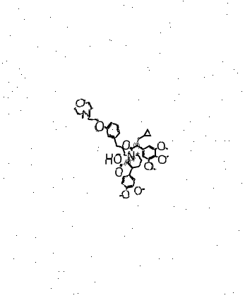 COc1ccc(C2CCC[N@@+](CCCc3cccc(OCCN4CCOCC4)c3)(C(=O)[C@@H](CC3CC3)c3cc(OC)c(OC)c(OC)c3)[C@H]2C(=O)O)cc1OC